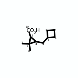 CC1(C)C(CC2CCC2)C1C(=O)O